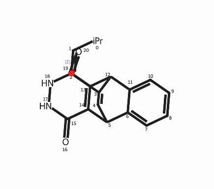 CC(C)/C=C\C1=CC2c3ccccc3C1c1c2c(=O)[nH][nH]c1=O